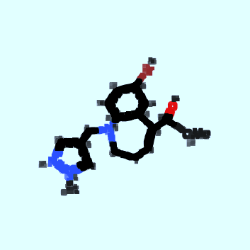 CCn1cc(CN2CCC=C(C(=O)OC)c3cc(Br)ccc32)cn1